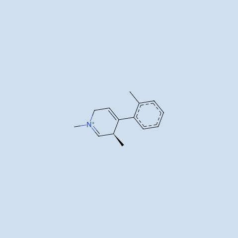 Cc1ccccc1C1=CC[N+](C)=C[C@@H]1C